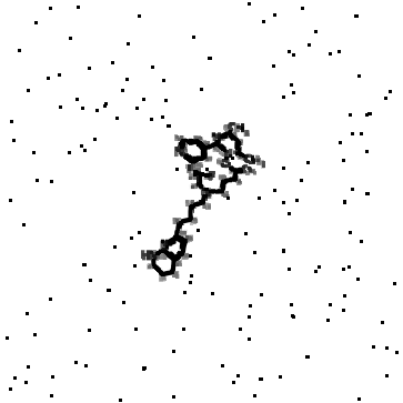 Cc1cc(C)[n+](OC(=O)CCCN(CCCCc2ccc3c(n2)NCCC3)CC(F)F)c(-c2ccncc2)n1